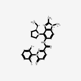 Cc1nc2c(N3CCC[C@H]3CN)c(NC(=O)c3ccc(=O)n(-c4c(F)cccc4F)n3)ccc2n1C